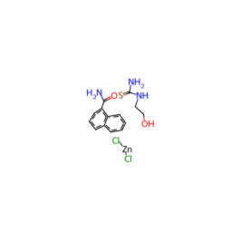 NC(=O)c1cccc2ccccc12.NC(=S)NCCO.[Cl][Zn][Cl]